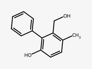 Cc1ccc(O)c(-c2ccccc2)c1CO